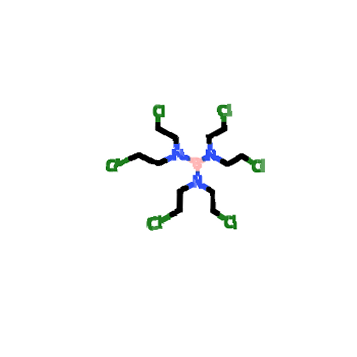 ClCCN(CCCl)B(N(CCCl)CCCl)N(CCCl)CCCl